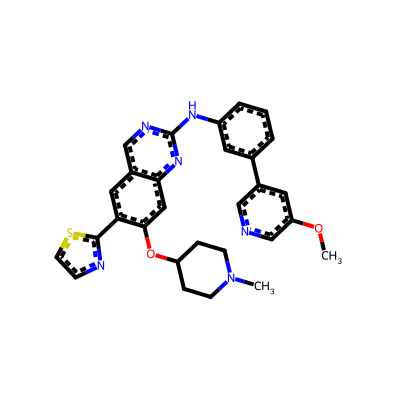 COc1cncc(-c2cccc(Nc3ncc4cc(-c5nccs5)c(OC5CCN(C)CC5)cc4n3)c2)c1